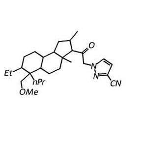 CCCC1(COC)C(CC)CCC2C3CC(C)C(C(=O)Cn4ccc(C#N)n4)C3(C)CCC21